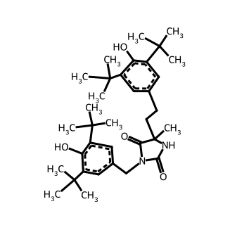 CC1(CCc2cc(C(C)(C)C)c(O)c(C(C)(C)C)c2)NC(=O)N(Cc2cc(C(C)(C)C)c(O)c(C(C)(C)C)c2)C1=O